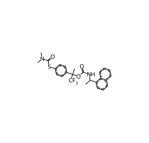 CC(NC(=O)OC(C)(c1ccc(SC(=O)N(C)C)cc1)C(F)(F)F)c1cccc2ccccc12